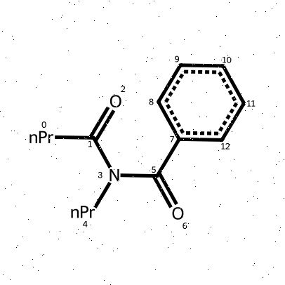 CCCC(=O)N(CCC)C(=O)c1ccccc1